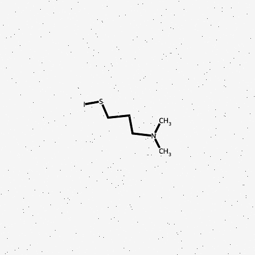 CN(C)CCCSI